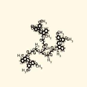 COc1ccc(C2(c3ccc(OC)cc3)C=Cc3c(COC(=O)CCC(=O)OC(C)COCC(COCC(C)OC(=O)CCC(=O)OCc4c5c(c6ccccc6c4C)OC(c4ccc(OC)cc4)(c4ccc(OC)cc4)C=C5)OCC(C)OC(=O)CCC(=O)OCc4c5c(c6ccccc6c4C)OC(c4ccc(OC)cc4)(c4ccc(OC)cc4)C=C5)c(C)c4ccccc4c3O2)cc1